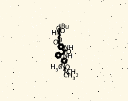 CN(C)CC(=O)N(C)c1ccc(N/C(=C2\C(=O)Nc3cc(C(=O)OCCNC(=O)OC(C)(C)C)ccc32)c2ccccc2)cc1